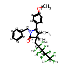 COc1ccc(C2=C(C)C(C)(CC(F)(F)C(F)(F)C(F)(F)C(F)(F)F)C(=O)N2Cc2ccccc2)cc1